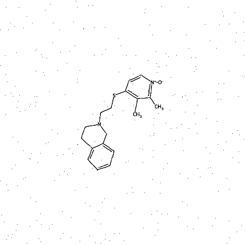 Cc1c(SCCN2CCc3ccccc3C2)cc[n+]([O-])c1C